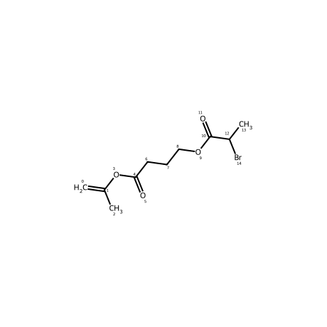 C=C(C)OC(=O)CCCOC(=O)C(C)Br